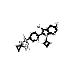 N#Cc1c(-c2ccc(S(=O)(=O)NC3(C(F)(F)F)CC3)cn2)n(C2=CC=C2)c2ncc(Cl)cc12